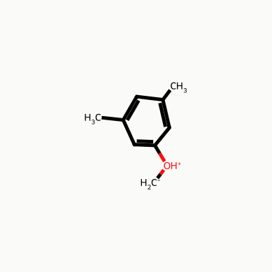 [CH2-][OH+]c1cc(C)cc(C)c1